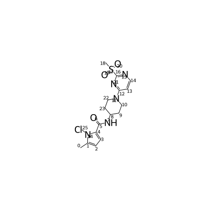 Cc1ccc(C(=O)NC2CCN(c3ccnc(S(C)(=O)=O)n3)CC2)n1Cl